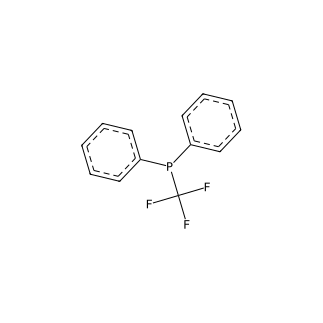 FC(F)(F)P(c1ccccc1)c1ccccc1